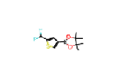 CC1(C)OB(c2csc(C(F)F)c2)OC1(C)C